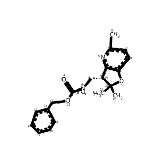 Cc1ccc2c(n1)[C@@H](CNC(=O)OCc1ccccc1)C(C)(C)O2